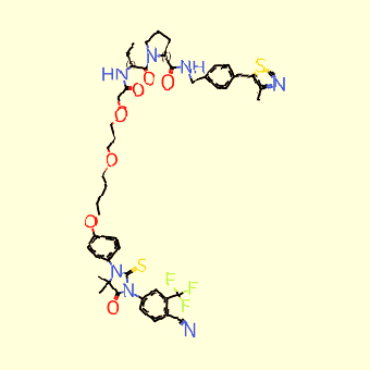 CC[C@H](NC(=O)COCCCOCCCCOc1ccc(N2C(=S)N(c3ccc(C#N)c(C(F)(F)F)c3)C(=O)C2(C)C)cc1)C(=O)N1CCC[C@H]1C(=O)NCc1ccc(-c2scnc2C)cc1